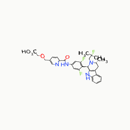 C[C@@H]1Cc2c([nH]c3ccccc23)[C@@H](c2c(F)cc(NC(=O)c3ccc(COCC(=O)O)cn3)cc2F)N1CC(C)(C)F